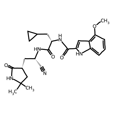 COc1cccc2[nH]c(C(=O)N[C@@H](CC3CC3)C(=O)N[C@H](C#N)C[C@@H]3CC(C)(C)NC3=O)cc12